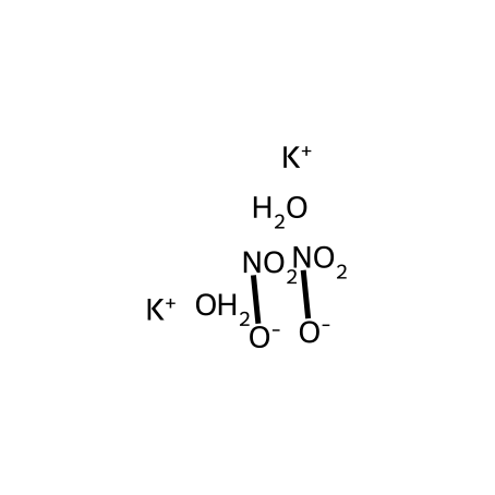 O.O.O=[N+]([O-])[O-].O=[N+]([O-])[O-].[K+].[K+]